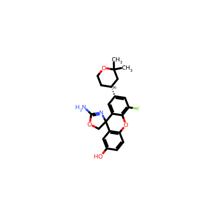 CC1(C)C[C@H](c2cc(F)c3c(c2)C2(COC(N)=N2)c2cc(O)ccc2O3)CCO1